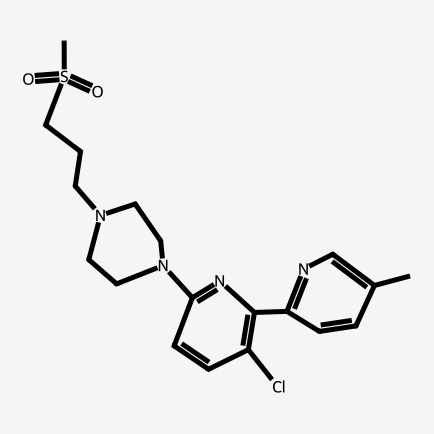 Cc1ccc(-c2nc(N3CCN(CCCS(C)(=O)=O)CC3)ccc2Cl)nc1